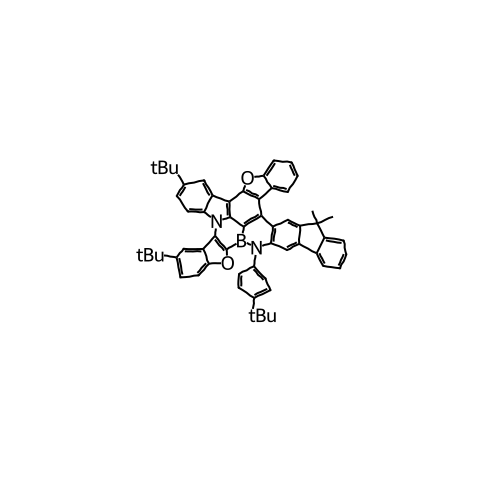 CC(C)(C)c1ccc(N2B3c4oc5ccc(C(C)(C)C)cc5c4-n4c5ccc(C(C)(C)C)cc5c5c6oc7ccccc7c6c(c3c54)-c3cc4c(cc32)-c2ccccc2C4(C)C)cc1